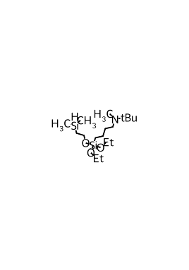 CCO[Si](CCCCN(C)C(C)(C)C)(OCC)OCC[SiH](C)C